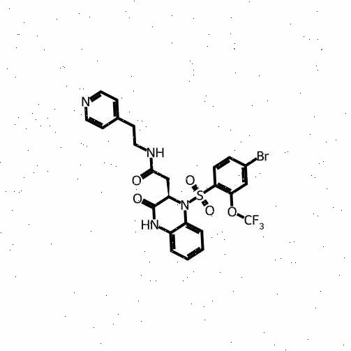 O=C(C[C@@H]1C(=O)Nc2ccccc2N1S(=O)(=O)c1ccc(Br)cc1OC(F)(F)F)NCCc1ccncc1